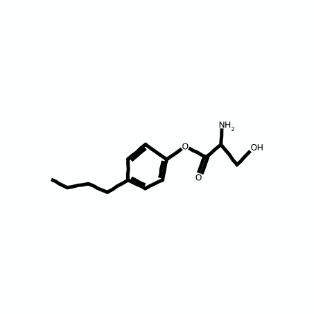 CCCCc1ccc(OC(=O)C(N)CO)cc1